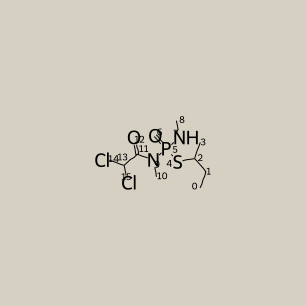 CCC(C)SP(=O)(NC)N(C)C(=O)C(Cl)Cl